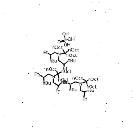 CCCCCCCCC(CCCCCCCC)(CCCCCCCC)N(CC(CC)CCCC)CC(CC)CCCC.CCCCCCCCC(CCCCCCCC)(CCCCCCCC)N(CC(CC)CCCC)CC(CC)CCCC.CCCCCCCCC(CCCCCCCC)(CCCCCCCC)N(CC(CC)CCCC)CC(CC)CCCC.O=P(O)(O)O